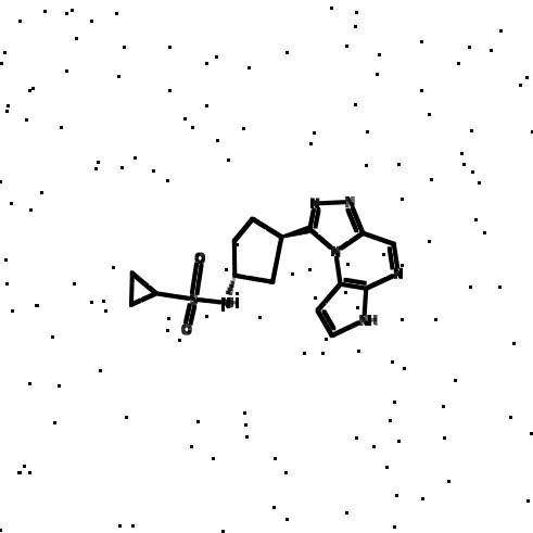 O=S(=O)(N[C@@H]1CC[C@@H](c2nnc3cnc4[nH]ccc4n23)C1)C1CC1